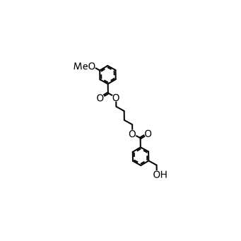 COc1cccc(C(=O)OCCCCOC(=O)c2cccc(CO)c2)c1